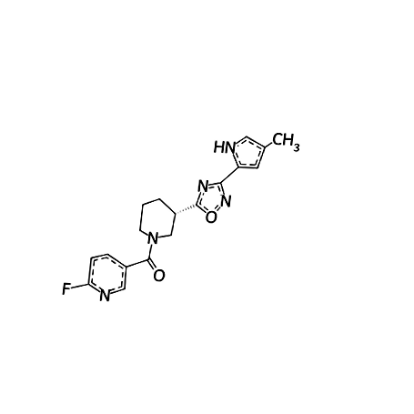 Cc1c[nH]c(-c2noc([C@H]3CCCN(C(=O)c4ccc(F)nc4)C3)n2)c1